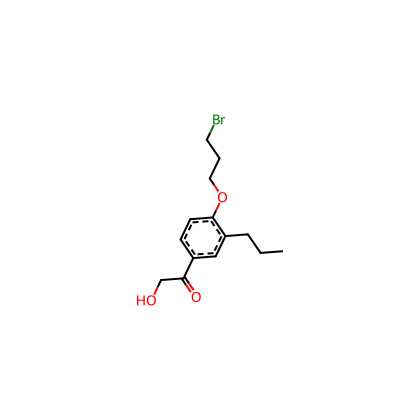 CCCc1cc(C(=O)CO)ccc1OCCCBr